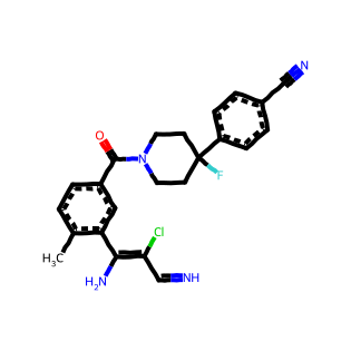 Cc1ccc(C(=O)N2CCC(F)(c3ccc(C#N)cc3)CC2)cc1/C(N)=C(\Cl)C=N